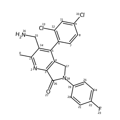 Cc1nc2c(c(-c3ccc(Cl)cc3Cl)c1CN)CN(c1ccc(F)cc1)C2=O